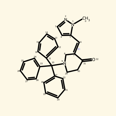 Cn1nccc1/C=C1\CN(C(c2ccccc2)(c2ccccc2)c2ccccc2)CCC1=O